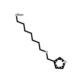 CCCCCCCCCCCCCCCCOCc1ccoc1